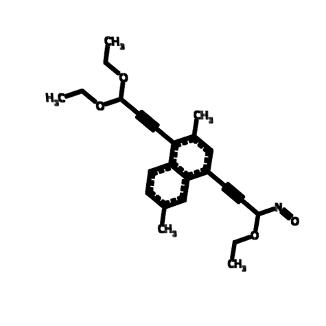 CCOC(C#Cc1cc(C)c(C#CC(OCC)OCC)c2ccc(C)cc12)N=O